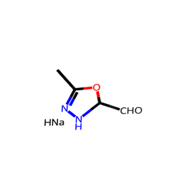 CC1=NNC(C=O)O1.[NaH]